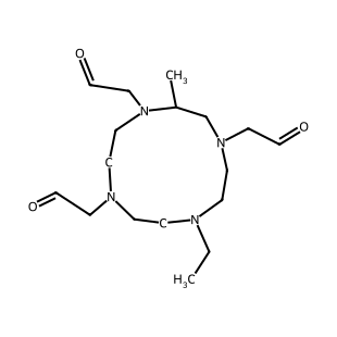 CCN1CCN(CC=O)CCN(CC=O)C(C)CN(CC=O)CC1